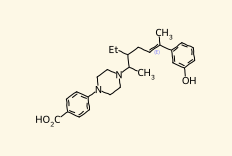 CCC(C/C=C(\C)c1cccc(O)c1)C(C)N1CCN(c2ccc(C(=O)O)cc2)CC1